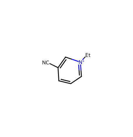 CC[n+]1cccc(C#N)c1